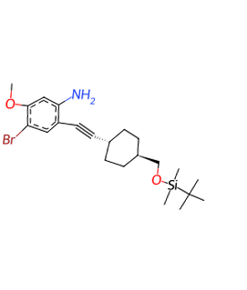 COc1cc(N)c(C#C[C@H]2CC[C@H](CO[Si](C)(C)C(C)(C)C)CC2)cc1Br